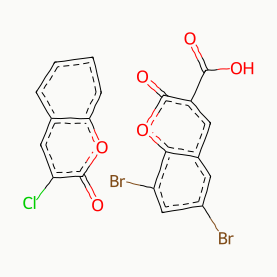 O=C(O)c1cc2cc(Br)cc(Br)c2oc1=O.O=c1oc2ccccc2cc1Cl